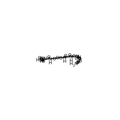 CN(CCOCCNC(=O)CCCC(=O)NCCCOCCOCCOCCCNC(=O)CCCC[C@@H]1SC[C@@H]2NC(=O)N[C@@H]21)C(=O)c1cc(Oc2ccc(N)cc2)ccn1